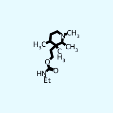 CCNC(=O)OCCC1(C)C(C)CCN(C)C1C